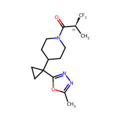 Cc1nnc(C2(C3CCN(C(=O)[C@H](C)C(F)(F)F)CC3)CC2)o1